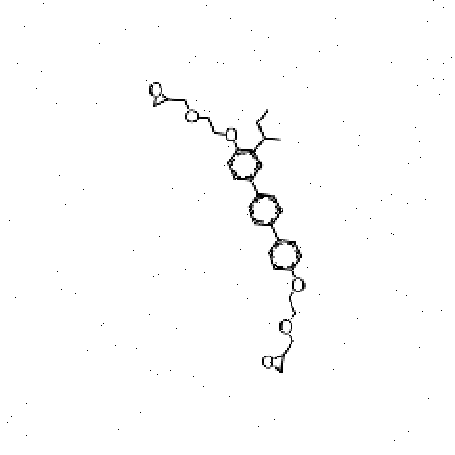 CCC(C)c1cc(-c2ccc(-c3ccc(OCCOCC4CO4)cc3)cc2)ccc1OCCOCC1CO1